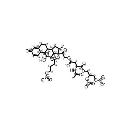 CC(=O)NC(CC(=O)OCC(=O)[C@@]1(OC(=O)CCCO[N+](=O)[O-])[C@H](C)CC2C3CCC4=CC(=O)C=C[C@]4(C)[C@@]3(F)[C@@H](O)C[C@@]21C)C(=O)OCC(CO[N+](=O)[O-])O[N+](=O)[O-]